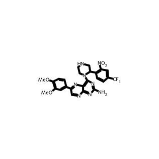 COc1ccc(-c2cnc3nc(N)nc(N4CCNCC4c4ccc(C(F)(F)F)cc4[N+](=O)[O-])c3n2)cc1OC